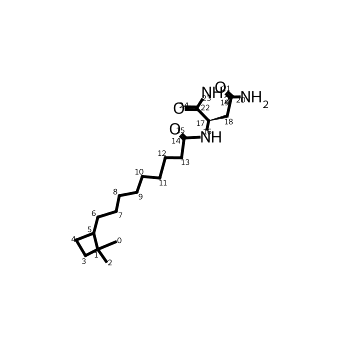 CC1(C)CCC1CCCCCCCCC(=O)N[C@H](CC(N)=O)C(N)=O